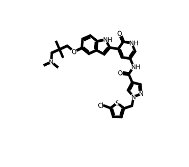 CN(C)CC(C)(C)COc1ccc2[nH]c(-c3cc(NC(=O)c4cnn(Cc5ccc(Cl)s5)c4)c[nH]c3=O)cc2c1